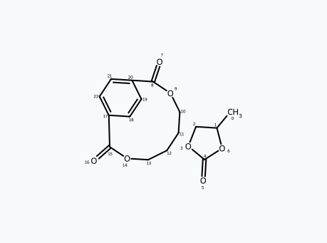 CC1COC(=O)O1.O=C1OCCCCOC(=O)c2ccc1cc2